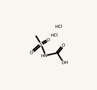 CS(=O)(=O)NC(=O)O.Cl.Cl